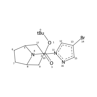 CC(C)(C)OC(=O)N1C2CCC1CC(n1cc(Br)cn1)C2